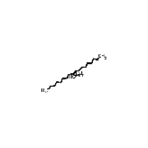 CCCCCCCCCCCCCCCCCC.CCCO.O